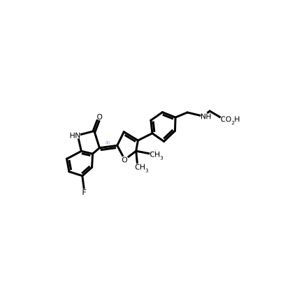 CC1(C)O/C(=C2/C(=O)Nc3ccc(F)cc32)C=C1c1ccc(CNCC(=O)O)cc1